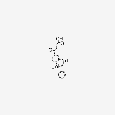 CCN1C(c2ccccc2)=CNc2cc(C(=O)CCC(=O)O)ccc21